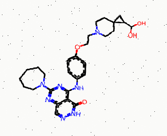 O=c1[nH]ncc2nc(N3CCCCCC3)nc(Nc3ccc(OCCN4CCC5(CC4)CC5C(O)O)cc3)c12